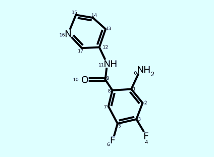 Nc1cc(F)c(F)cc1C(=O)Nc1cccnc1